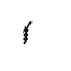 C=CCc1ccc(-c2ccc(-c3ccc(C(I)=CCCCC(C)F)cn3)cc2)cc1